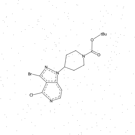 CC(C)(C)OC(=O)N1CCC(n2nc(Br)c3c(Cl)nccc32)CC1